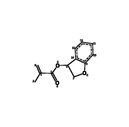 C=C(C)C(=O)OC1COc2ccccc21